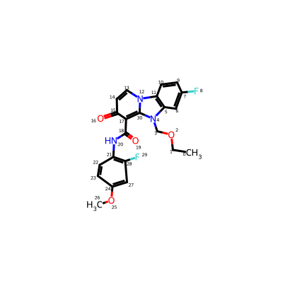 CCOCn1c2cc(F)ccc2n2ccc(=O)c(C(=O)Nc3ccc(OC)cc3F)c12